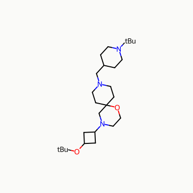 CC(C)(C)OC1CC(N2CCOC3(CCN(CC4CCN(C(C)(C)C)CC4)CC3)C2)C1